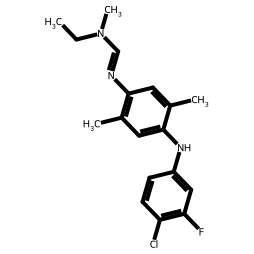 CCN(C)C=Nc1cc(C)c(Nc2ccc(Cl)c(F)c2)cc1C